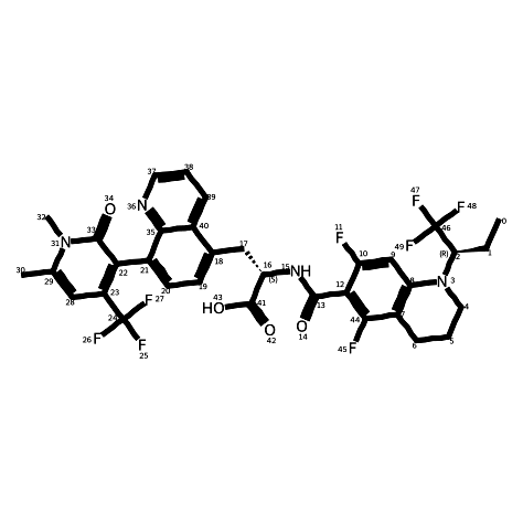 CC[C@@H](N1CCCc2c1cc(F)c(C(=O)N[C@@H](Cc1ccc(-c3c(C(F)(F)F)cc(C)n(C)c3=O)c3ncccc13)C(=O)O)c2F)C(F)(F)F